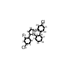 Fc1cc(Cl)ccc1C1C=CNN1c1ccccc1-c1ccc(Cl)cc1